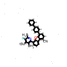 Bc1nc(-c2cccc3c2oc2c(-c4ccc(-c5ccccc5)cc4)ccc(C#N)c23)c(B)c(C(C)(C)C)c1F